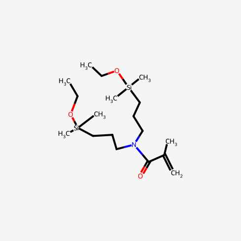 C=C(C)C(=O)N(CCC[Si](C)(C)OCC)CCC[Si](C)(C)OCC